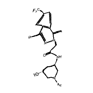 C=C1c2ccc(C(F)(F)F)cc2C(C(C)C)=NN1CC(=O)N[C@@H]1C[C@@H](O)CN(C(C)=O)C1